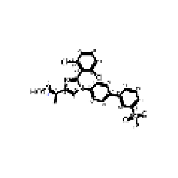 C/C(=N\O)c1cn(-c2ccc(-c3cccc(S(C)(=O)=O)c3)cc2)c(-c2c(Cl)cccc2Cl)n1